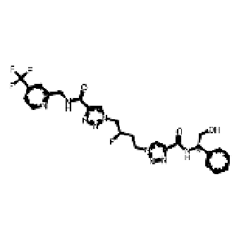 O=C(NCc1cc(C(F)(F)F)ccn1)c1cn(CC(F)CCn2cc(C(=O)N[C@@H](CO)c3ccccc3)nn2)nn1